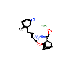 Cl.N#Cc1ccc(N)cc1CCCCOc1ccccc1C(N)CO